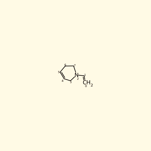 C=CN1CC=CCC1